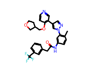 Cc1ccc(NC(=O)Cc2cccc(C(F)(F)F)c2)cc1-n1cc(-c2cnccc2OCC2CCOC2)cn1